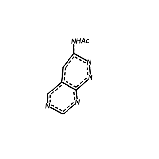 CC(=O)Nc1cc2cncnc2nn1